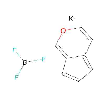 FB(F)F.[K].c1cc2ccocc-2c1